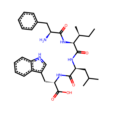 CC[C@H](C)[C@H](NC(=O)[C@@H](N)Cc1ccccc1)C(=O)N[C@@H](CC(C)C)C(=O)N[C@@H](Cc1c[nH]c2ccccc12)C(=O)O